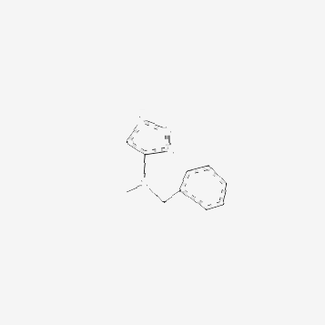 CN(Cc1ccccc1)c1c[nH]nn1.Cl